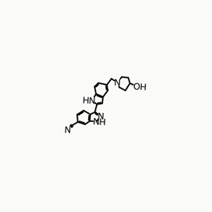 N#Cc1ccc2c(-c3cc4cc(CN5CCC(O)CC5)ccc4[nH]3)n[nH]c2c1